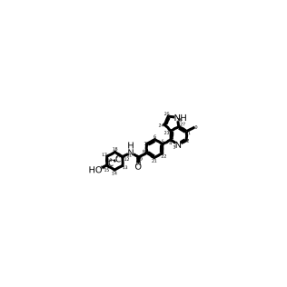 Cc1cnc(-c2ccc(C(=O)NC34CCC(O)(CC3)CC4)cc2)c2cc[nH]c12